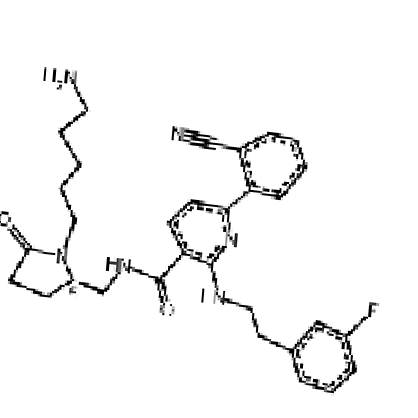 N#Cc1ccccc1-c1ccc(C(=O)NC[C@H]2CCC(=O)N2CCCCCN)c(NCCc2cccc(F)c2)n1